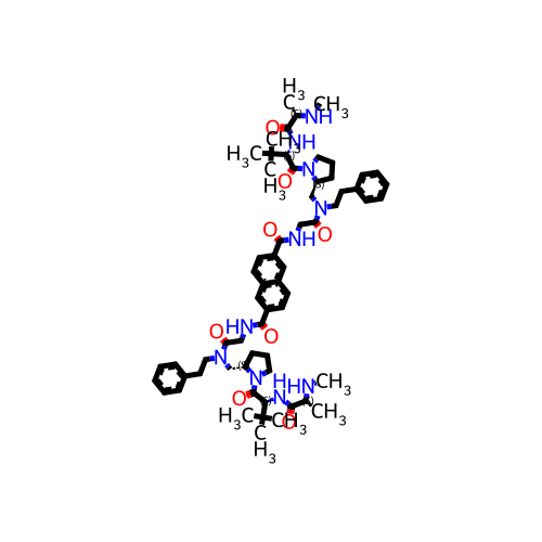 CN[C@@H](C)C(=O)N[C@H](C(=O)N1CCC[C@H]1CN(CCc1ccccc1)C(=O)CNC(=O)c1ccc2cc(C(=O)NCC(=O)N(CCc3ccccc3)C[C@@H]3CCCN3C(=O)[C@@H](NC(=O)[C@H](C)NC)C(C)(C)C)ccc2c1)C(C)(C)C